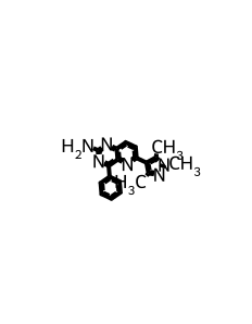 Cc1nn(C)c(C)c1-c1ccc2nc(N)nc(-c3ccccc3)c2n1